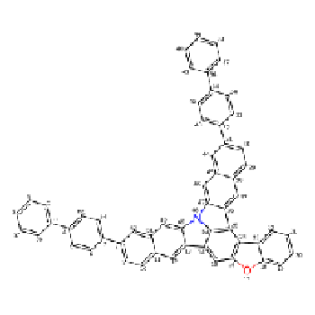 c1ccc(-c2ccc(-c3ccc4cc5c6cc7oc8ccccc8c7c7c8cc9ccc(-c%10ccc(-c%11ccccc%11)cc%10)cc9cc8n(c5cc4c3)c67)cc2)cc1